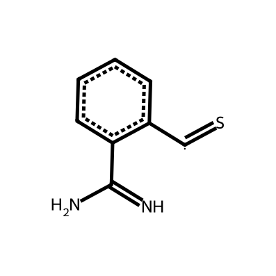 N=C(N)c1ccccc1[C]=S